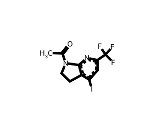 CC(=O)N1CCc2c(I)cc(C(F)(F)F)nc21